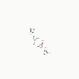 Nc1ncnc2c1ncn2[C@@H]1C[C@@H]2OP(=O)(O)O[C@H]3[C@@H](F)[C@H](n4cnc5c(N)ncnc54)O[C@@H]3COP(=O)(O)O[C@@H]1[C@@H]2O